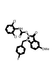 COc1ccc2c(c1)c(=O)n(OC(=O)Nc1c(Cl)cccc1Cl)n2Cc1ccc(F)cc1